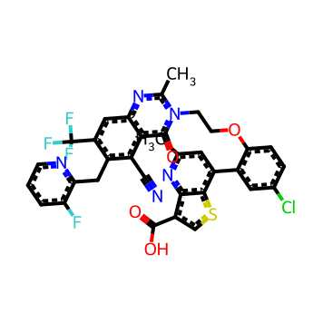 Cc1cc(-c2cc(Cl)ccc2OCCn2c(C)nc3cc(C(F)(F)F)c(Cc4ncccc4F)c(C#N)c3c2=O)c2scc(C(=O)O)c2n1